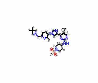 Cc1nc(CN2CC(C)(C)C2)ccc1-n1cnc(-c2nc(NC3CCN(S(C)(=O)=O)CC3)ncc2C(F)(F)F)c1